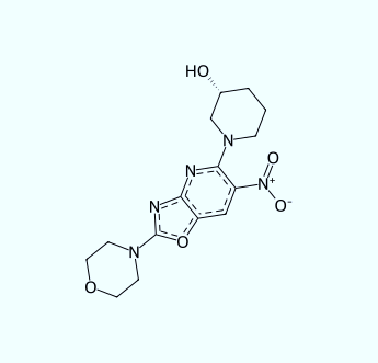 O=[N+]([O-])c1cc2oc(N3CCOCC3)nc2nc1N1CCC[C@@H](O)C1